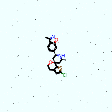 Cc1noc2cc([C@@H]3C[C@]4(C[C@H](C)N3)OCCc3cc(Cl)sc34)ccc12